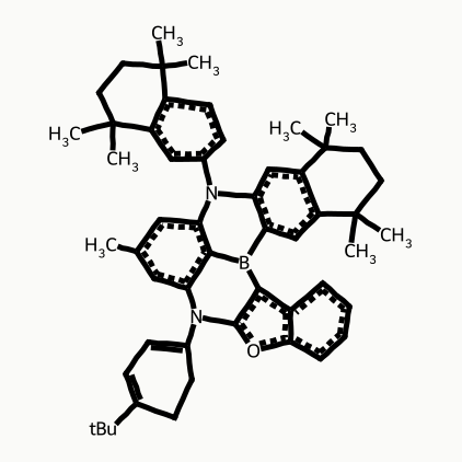 Cc1cc2c3c(c1)N(c1ccc4c(c1)C(C)(C)CCC4(C)C)c1cc4c(cc1B3c1c(oc3ccccc13)N2C1=CC=C(C(C)(C)C)CC1)C(C)(C)CCC4(C)C